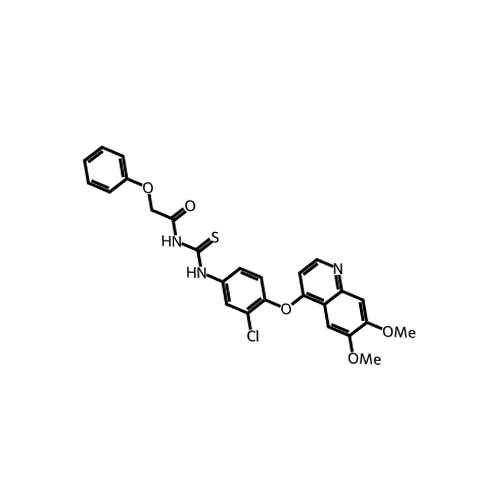 COc1cc2nccc(Oc3ccc(NC(=S)NC(=O)COc4ccccc4)cc3Cl)c2cc1OC